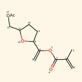 C=C(C)C(=O)OC(=C)C1CCC(COC(C)=O)O1